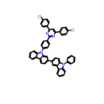 Clc1ccc(-c2cc(-c3ccc(Cl)cc3)nc(-c3ccc(-n4c5ccccc5c5ccc(-c6ccc7c(c6)c6ccccc6n7-c6ccccc6)cc54)cc3)n2)cc1